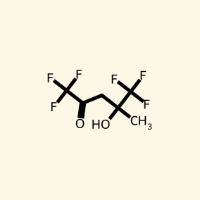 CC(O)(CC(=O)C(F)(F)F)C(F)(F)F